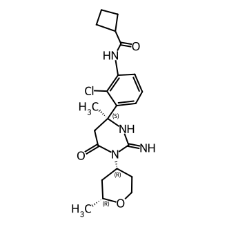 C[C@@H]1C[C@H](N2C(=N)N[C@](C)(c3cccc(NC(=O)C4CCC4)c3Cl)CC2=O)CCO1